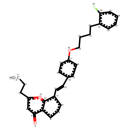 O=C(O)CCc1cc(=O)c2cccc(/C=C/c3ccc(OCCCCc4ccccc4F)cc3)c2o1